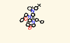 Cc1cc2c3c(c1)N(c1cccc4oc5ccccc5c14)c1cc(-c4ccccc4)ccc1B3c1ccc(N3c4ccc(C(C)(C)C)cc4C4(C)CCCCC34C)cc1N2c1cccc2c1oc1ccccc12